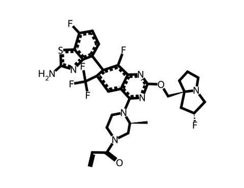 C=CC(=O)N1CCN(c2nc(OC[C@@]34CCCN3C[C@H](F)C4)nc3c(F)c(-c4ccc(F)c5sc(N)nc45)c(C(F)(F)F)cc23)[C@@H](C)C1